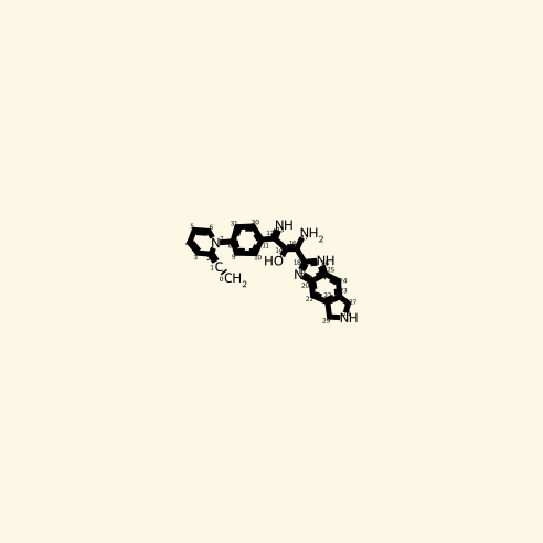 C=C=C1C=CC=CN1c1ccc(C(=N)/C(O)=C(\N)c2nc3cc4c(cc3[nH]2)CNC4)cc1